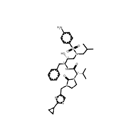 CC(C)CN(C[C@@H](O)[C@H](Cc1ccccc1)NC(=O)[C@H](C(C)C)N1CCN(Cc2csc(C3CC3)n2)C1=O)S(=O)(=O)c1ccc(N)cc1